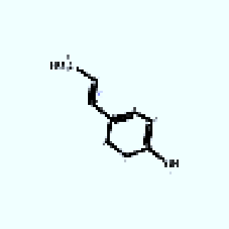 O=C(O)/C=C/C1=CC=C(O)CC1